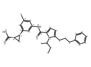 CCC(C)n1c(CCCc2ccccc2)ccc1C(=O)Nc1cc(C)cc([C@H]2C[C@H]2C(=O)O)c1